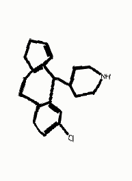 ClC1=CCC2CCC3=C(C=CCC3)C(C3CCNCC3)C2=C1